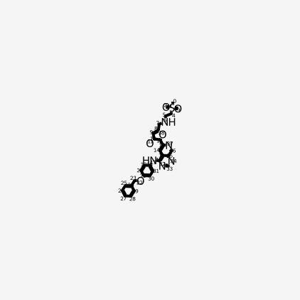 CS(=O)(=O)CCNCC1=CC(=O)C(c2cc3c(Nc4ccc(OCc5ccccc5)cc4)ncnc3cn2)O1